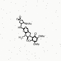 COc1cc(OC)c(Cl)c(N2Cc3cnc(NC4CS(=O)(=O)CC4NC(C)=O)nc3N(C)C2=O)c1Cl